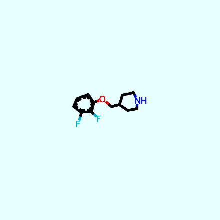 Fc1cccc(OCC2CCNCC2)c1F